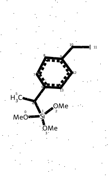 CO[Si](OC)(OC)C(C)c1ccc(CI)cc1